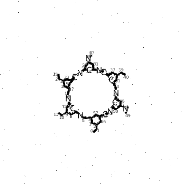 C=Cc1cc2cnc3cc(C=C)cc(c3)ncc3cc(C=C)cc(cnc4cc(N=C)cc(c4)ncc4cc(C=C)cc(cnc5cc(N=C)cc(c5)ncc(c1)c2)c4)c3